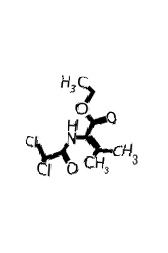 CCOC(=O)C(NC(=O)C(Cl)Cl)=C(C)C